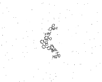 COc1nc(-c2cccc(-c3cccc(-c4ccn5c(=O)c(CNCC(C)(C)C(=O)O)cnc5c4)c3Cl)c2Cl)ccc1CNC[C@@H]1CCC(=O)N1